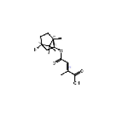 C/C(=C\C(=O)O[C@H]1C[C@@H]2CC[C@@]1(C)C2(C)C)C(=O)O